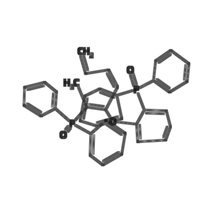 C=C/C=C\C(Oc1ccccc1P(=O)(c1ccccc1)c1ccccc1)=C(/C)P(=O)(c1ccccc1)c1ccccc1